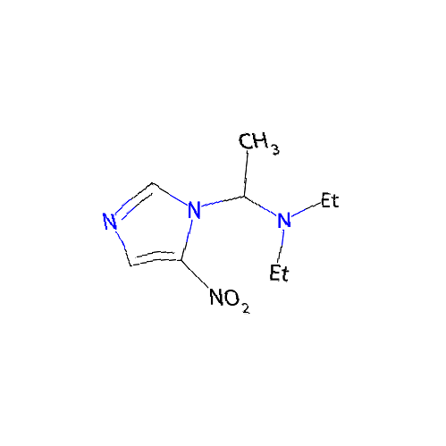 CCN(CC)C(C)n1cncc1[N+](=O)[O-]